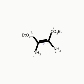 CCOC(=O)/C(N)=C(/N)C(=O)OCC